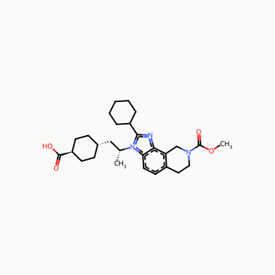 COC(=O)N1CCc2ccc3c(nc(C4CCCCC4)n3[C@H](C)C[C@H]3CC[C@H](C(=O)O)CC3)c2C1